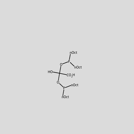 CCCCCCCCP(CCCCCCCC)OC(O)(OP(CCCCCCCC)CCCCCCCC)C(=O)O